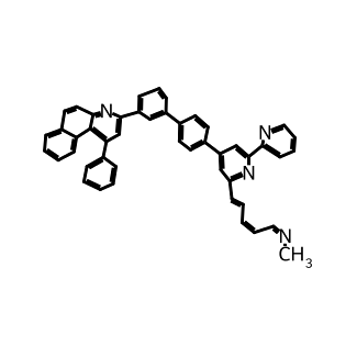 C\N=C/C=C\C=C\c1cc(-c2ccc(-c3cccc(-c4cc(-c5ccccc5)c5c(ccc6ccccc65)n4)c3)cc2)cc(-c2ccccn2)n1